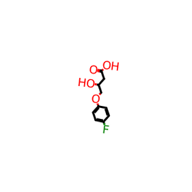 O=C(O)CC(O)COc1ccc(F)cc1